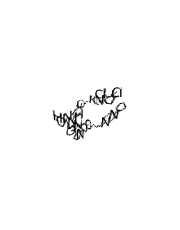 O=c1[nH]c2cc(OCCCCCN3CCN(c4ccccc4)CC3)ccc2n2cccc12.O=c1[nH]c2cc(OCCCCN3CCN(c4cccc(Cl)c4Cl)CC3)ccc2n2cccc12